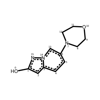 Oc1cc2ccc(N3CCOCC3)cn2n1